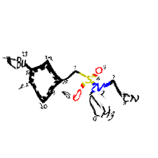 CN(CC#N)S(=O)(=O)Cc1cccc(C(C)(C)C)c1